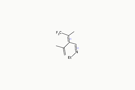 C=C(C)C(/C=N\CC)=C(/C)C(F)(F)F